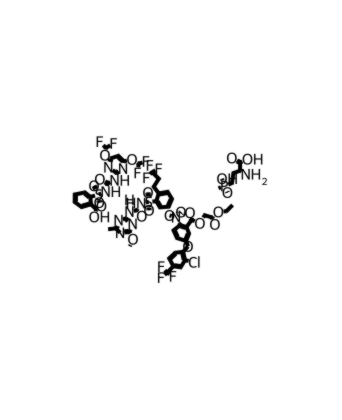 CCOC(=O)COC(=O)c1cc(Oc2ccc(C(F)(F)F)cc2Cl)ccc1[N+](=O)[O-].COc1nc(C)nc(NC(=O)NS(=O)(=O)c2ccccc2CCC(F)(F)F)n1.CP(=O)(O)CCC(N)C(=O)O.O=C(Nc1nc(OC(F)F)cc(OC(F)F)n1)NS(=O)(=O)c1ccccc1C(=O)O